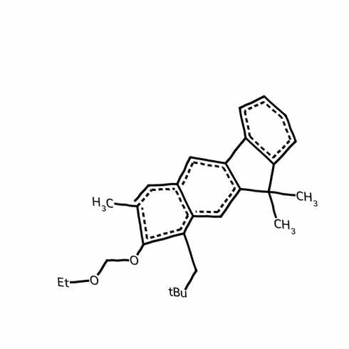 CCOCOc1c(C)cc2cc3c(cc2c1CC(C)(C)C)C(C)(C)c1ccccc1-3